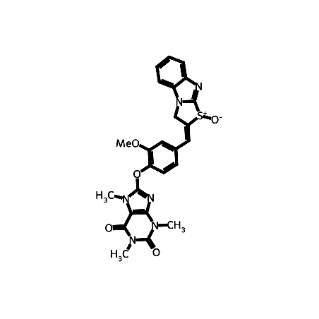 COc1cc(C=C2Cn3c(nc4ccccc43)[S+]2[O-])ccc1Oc1nc2c(c(=O)n(C)c(=O)n2C)n1C